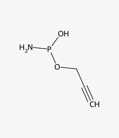 C#CCOP(N)O